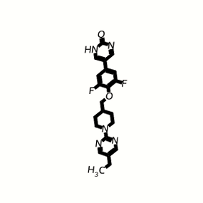 CCc1cnc(N2CCC(COc3c(F)cc(-c4cnc(=O)[nH]c4)cc3F)CC2)nc1